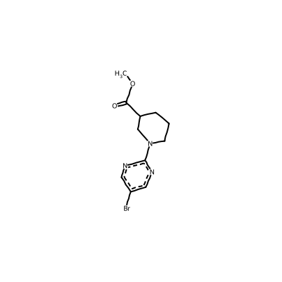 COC(=O)C1CCCN(c2ncc(Br)cn2)C1